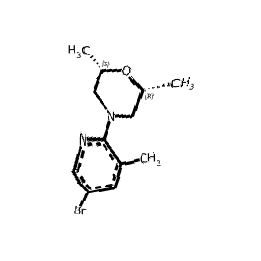 Cc1cc(Br)cnc1N1C[C@@H](C)O[C@@H](C)C1